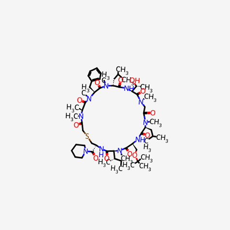 CC[C@H](C)[C@H]1C(=O)N[C@H](C(=O)N2CCCCC2)CSCC(=O)N(C)[C@@H](C)C(=O)N(C)[C@@H](Cc2ccccc2)C(=O)N(C)[C@H](CC(C)C)C(=O)N[C@@H]([C@@H](C)O)C(=O)N(C)CC(=O)N(C)[C@@H](CC(C)C)C(=O)N[C@@H](COC(C)(C)C)C(=O)N1C